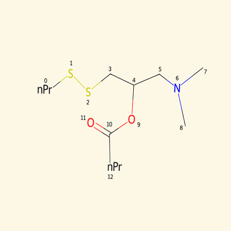 CCCSSCC(CN(C)C)OC(=O)CCC